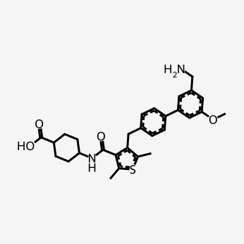 COc1cc(CN)cc(-c2ccc(Cc3c(C)sc(C)c3C(=O)NC3CCC(C(=O)O)CC3)cc2)c1